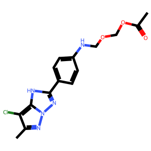 CC(=O)OCOCNc1ccc(-c2nn3nc(C)c(Cl)c3[nH]2)cc1